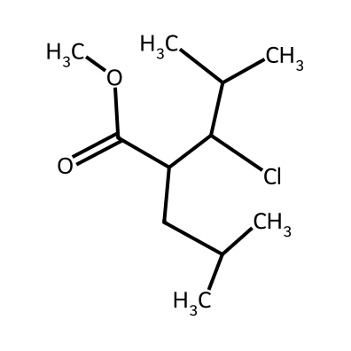 COC(=O)C(CC(C)C)C(Cl)C(C)C